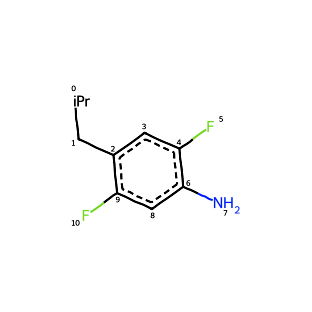 CC(C)Cc1cc(F)c(N)cc1F